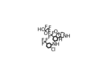 O=C(O)C(F)(F)F.O=C1c2c(cc(Nc3cc(C(F)(F)F)ccc3Cl)cc2C(F)(F)F)[C@@H]2CNCCN12